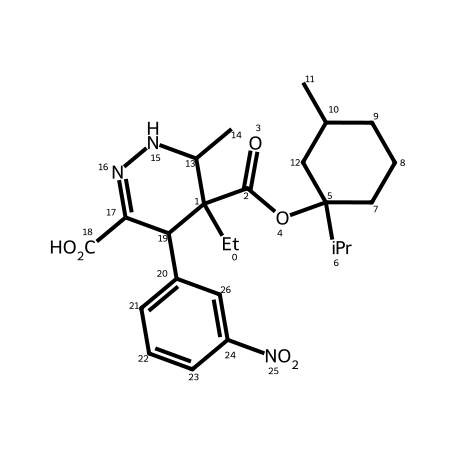 CCC1(C(=O)OC2(C(C)C)CCCC(C)C2)C(C)NN=C(C(=O)O)C1c1cccc([N+](=O)[O-])c1